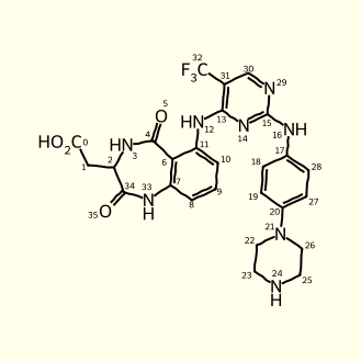 O=C(O)CC1NC(=O)c2c(cccc2Nc2nc(Nc3ccc(N4CCNCC4)cc3)ncc2C(F)(F)F)NC1=O